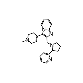 CN1CC=C(c2c(CN3CCCC3c3ccccn3)nc3ccccn23)CC1